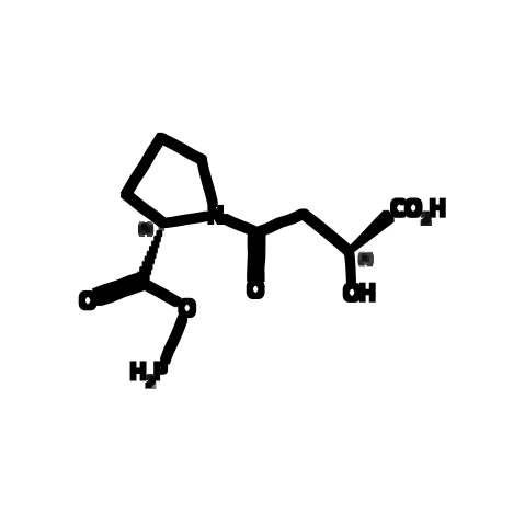 O=C(O)[C@@H](O)CC(=O)N1CCC[C@H]1C(=O)OP